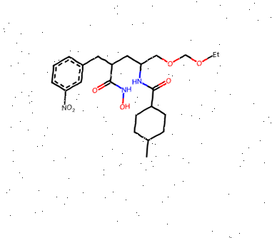 CCOCOCC(CC(Cc1cccc([N+](=O)[O-])c1)C(=O)NO)NC(=O)C1CCC(C)CC1